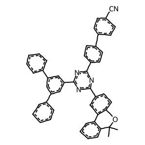 CC1(C)Oc2ccc(-c3nc(-c4ccc(-c5ccc(C#N)cc5)cc4)nc(-c4cc(-c5ccccc5)cc(-c5ccccc5)c4)n3)cc2-c2ccccc21